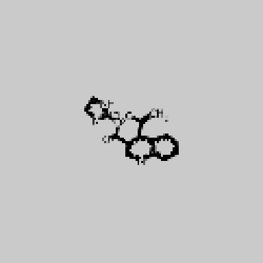 C=C(C(=O)O)c1c(C(=O)Oc2ncc[nH]2)cnc2ccccc12